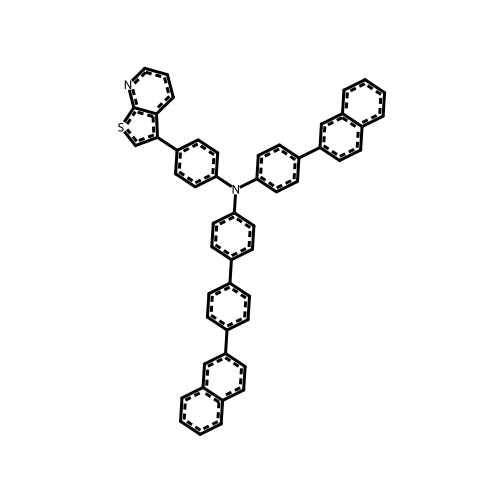 c1ccc2cc(-c3ccc(-c4ccc(N(c5ccc(-c6ccc7ccccc7c6)cc5)c5ccc(-c6csc7ncccc67)cc5)cc4)cc3)ccc2c1